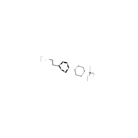 FC(F)(F)[C@H]1CC[C@H](c2ccc(CCBr)cc2)CC1